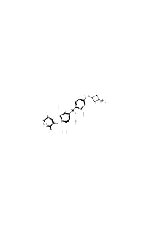 CC(C)(c1ccc(Oc2cc(F)cnc2C(=O)O)cc1)c1ccc(OC2CC(N)C2)cc1.Cl